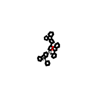 c1ccc(-n2c3ccccc3c3ccc(N(c4ccc(-c5ccc6c(c5)C5(CCCC5)c5ccccc5-6)cc4)c4ccccc4-c4ccc5ccccc5c4)cc32)cc1